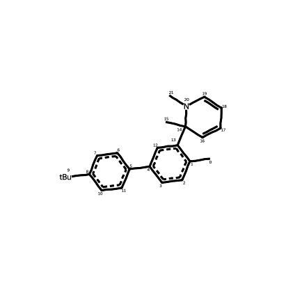 Cc1ccc(-c2ccc(C(C)(C)C)cc2)cc1C1(C)C=CC=CN1C